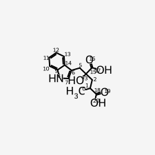 CC(CC(O)(Cc1c[nH]c2ccccc12)C(=O)O)C(=O)O